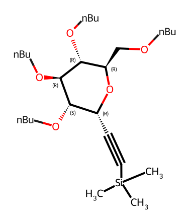 CCCCOC[C@H]1O[C@H](C#C[Si](C)(C)C)[C@H](OCCCC)[C@@H](OCCCC)[C@@H]1OCCCC